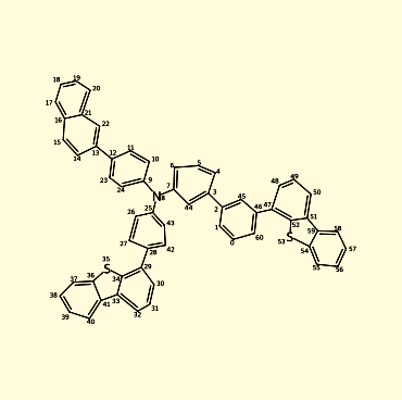 c1cc(-c2cccc(N(c3ccc(-c4ccc5ccccc5c4)cc3)c3ccc(-c4cccc5c4sc4ccccc45)cc3)c2)cc(-c2cccc3c2sc2ccccc23)c1